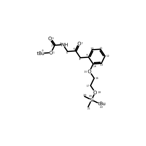 CC(C)(C)OC(=O)NCC(=O)Cc1ccccc1OCCO[Si](C)(C)C(C)(C)C